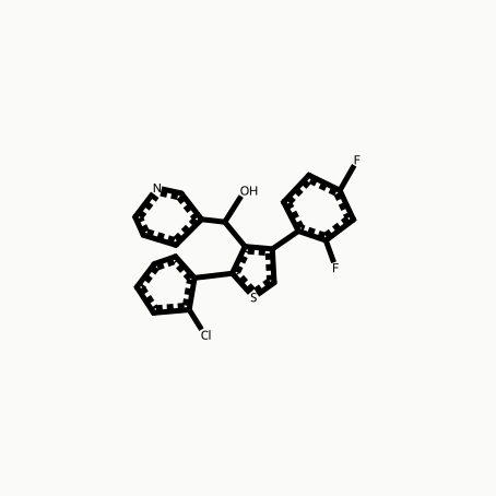 OC(c1cccnc1)c1c(-c2ccc(F)cc2F)csc1-c1ccccc1Cl